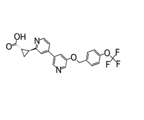 O=C(O)[C@H]1C[C@@H]1c1cc(-c2cncc(OCc3ccc(OC(F)(F)F)cc3)c2)ccn1